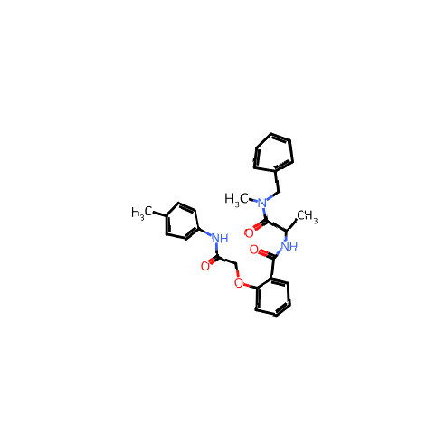 Cc1ccc(NC(=O)COc2ccccc2C(=O)NC(C)C(=O)N(C)Cc2ccccc2)cc1